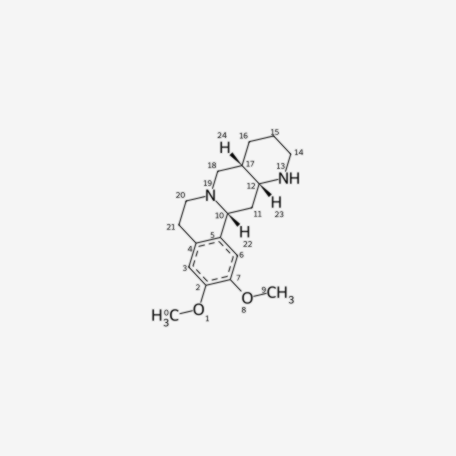 COc1cc2c(cc1OC)[C@H]1C[C@H]3NCCC[C@H]3CN1CC2